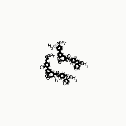 CCCOCCc1ccc(-c2ccc3c(c2)C=C(C(=O)Nc2ccc(CN(C)C4CCOCC4)cc2)CCS3(=O)=O)c(Cl)c1.CCCOc1ccc(-c2ccc3c(c2)C=C(C(=O)Nc2ccc(CN(C)C4CCOCC4)cc2)CCS3(=O)=O)cc1C